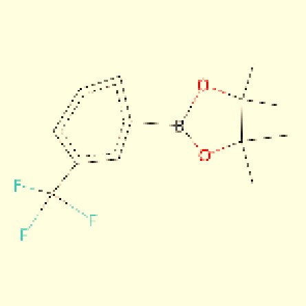 CC1(C)OB(c2cccc(C(F)(F)F)c2)OC1(C)C